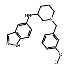 CCOc1cccc(CN2CCCC(Nc3ccc4[nH]ncc4c3)C2)c1